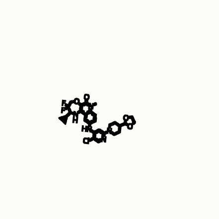 Cn1c(=O)c2c(c3cc(Nc4cc(N5CCC(C6OCCO6)CC5)ncc4Cl)ccc31)NC(C1CC1)C(F)(F)CO2